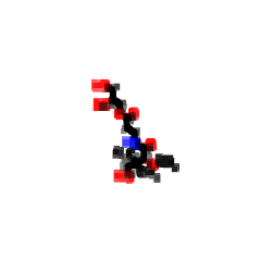 BO[C@@H](C(=O)NCCC(=O)OCC(O)CO)C(C)(C)CO